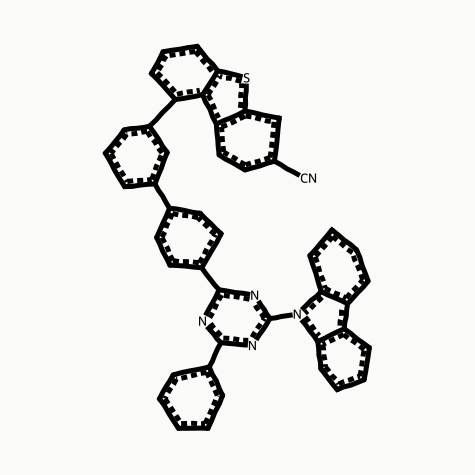 N#Cc1ccc2c(c1)sc1cccc(-c3cccc(-c4ccc(-c5nc(-c6ccccc6)nc(-n6c7ccccc7c7ccccc76)n5)cc4)c3)c12